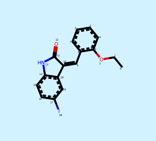 CCOc1ccccc1C=C1C(=O)Nc2ccc(I)cc21